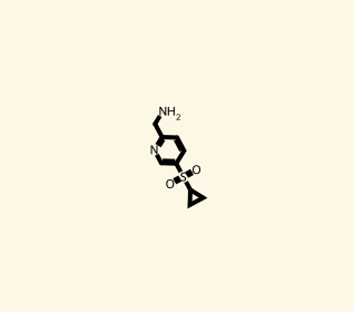 NCc1ccc(S(=O)(=O)C2CC2)cn1